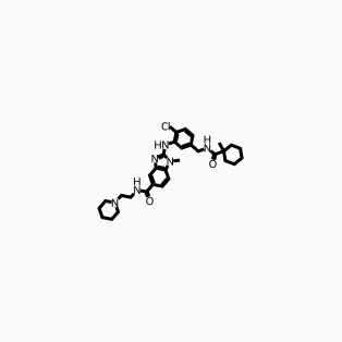 Cn1c(Nc2cc(CNC(=O)C3(C)CCCCC3)ccc2Cl)nc2cc(C(=O)NCCN3CCCCC3)ccc21